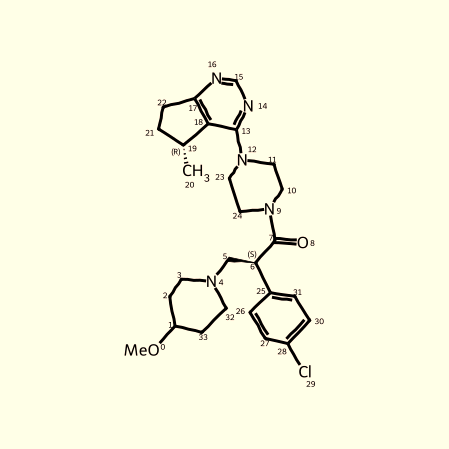 COC1CCN(C[C@@H](C(=O)N2CCN(c3ncnc4c3[C@H](C)CC4)CC2)c2ccc(Cl)cc2)CC1